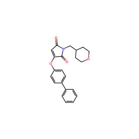 O=C1C=C(Oc2ccc(-c3ccccc3)cc2)C(=O)N1CC1CCOCC1